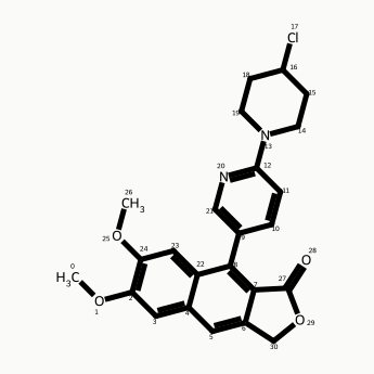 COc1cc2cc3c(c(-c4ccc(N5CCC(Cl)CC5)nc4)c2cc1OC)C(=O)OC3